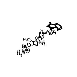 CC1CC(Nc2nccc(N[C@@H]3C[C@H](COS(N)(=O)=O)[C@@H](O)[C@H]3O)n2)c2ccccc21